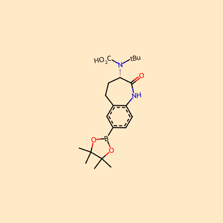 CC(C)(C)N(C(=O)O)[C@H]1CCc2cc(B3OC(C)(C)C(C)(C)O3)ccc2NC1=O